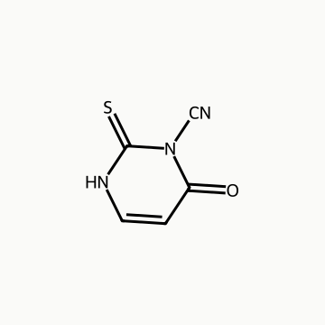 N#Cn1c(=O)cc[nH]c1=S